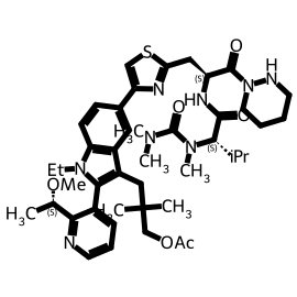 CCn1c(-c2cccnc2[C@H](C)OC)c(CC(C)(C)COC(C)=O)c2cc(-c3csc(C[C@H](NC(=O)[C@H](C(C)C)N(C)C(=O)N(C)C)C(=O)N4CCCCN4)n3)ccc21